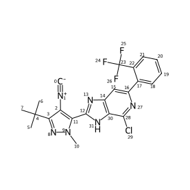 [C-]#[N+]c1c(C(C)(C)C)nn(C)c1-c1nc2cc(-c3ccccc3C(F)(F)F)nc(Cl)c2[nH]1